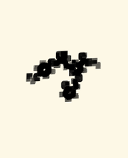 CC(=CCc1nc(OCCN2CCCC2=O)cc(C(N)=O)n1)COc1ccc(C(F)(F)F)cc1